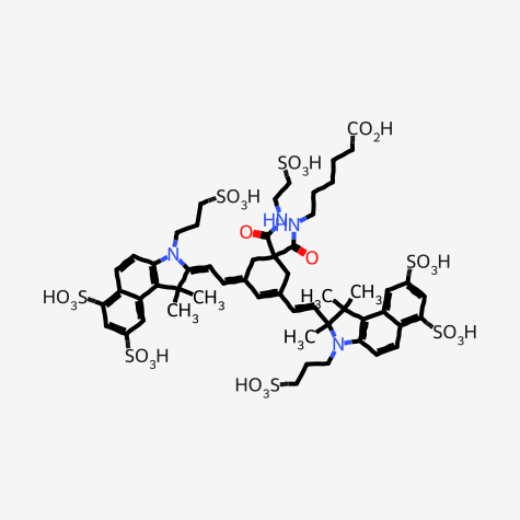 CC1(C)/C(=C\C=C2C=C(/C=C/C3(C)N(CCCS(=O)(=O)O)c4ccc5c(S(=O)(=O)O)cc(S(=O)(=O)O)cc5c4C3(C)C)CC(C(=O)NCCCCCC(=O)O)(C(=O)NCCS(=O)(=O)O)C\2)N(CCCS(=O)(=O)O)c2ccc3c(S(=O)(=O)O)cc(S(=O)(=O)O)cc3c21